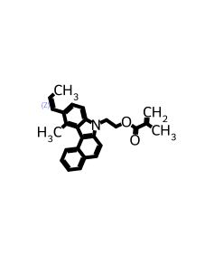 C=C(C)C(=O)OCCn1c2ccc(/C=C\C)c(C)c2c2c3ccccc3ccc21